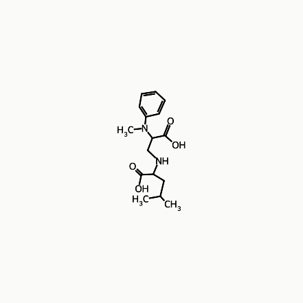 CC(C)CC(NCC(C(=O)O)N(C)c1ccccc1)C(=O)O